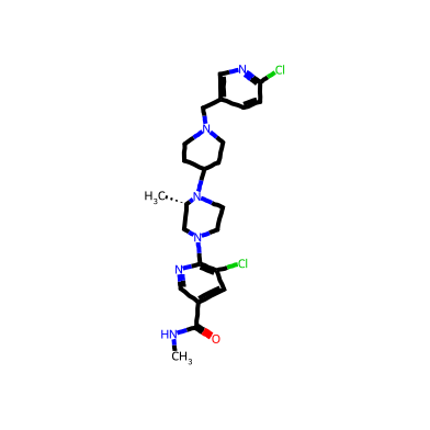 CNC(=O)c1cnc(N2CCN(C3CCN(Cc4ccc(Cl)nc4)CC3)[C@@H](C)C2)c(Cl)c1